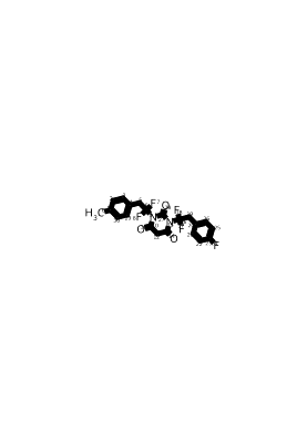 Cc1ccc(CC(F)(F)N2C(=O)CC(=O)N(C(F)(F)Cc3ccc(F)cc3)C2=O)cc1